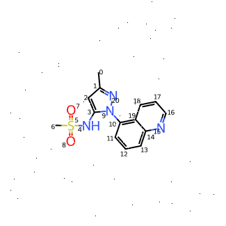 Cc1cc(NS(C)(=O)=O)n(-c2cccc3ncccc23)n1